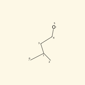 [CH2]C(C)CC[O]